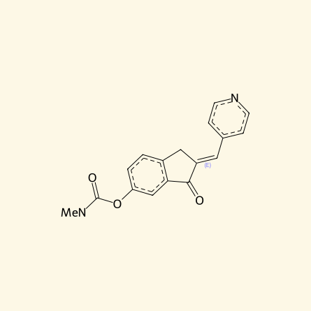 CNC(=O)Oc1ccc2c(c1)C(=O)/C(=C/c1ccncc1)C2